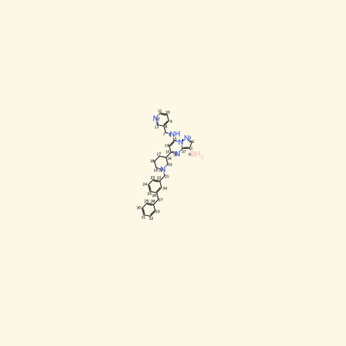 Bc1cnn2c(NCc3cccnc3)cc(C3CCCN(Cc4cccc(Cc5ccccc5)c4)C3)nc12